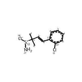 CC(C)(C=Cc1ccccc1Cl)[S+](N)[O-]